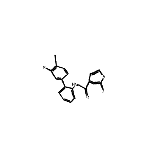 Cc1ccc(-c2ccccc2NC(=O)c2ccsc2I)cc1F